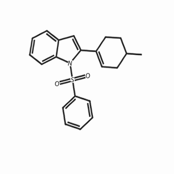 CC1CC=C(c2cc3ccccc3n2S(=O)(=O)c2ccccc2)CC1